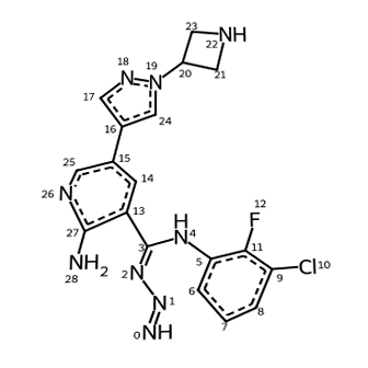 N=N/N=C(\Nc1cccc(Cl)c1F)c1cc(-c2cnn(C3CNC3)c2)cnc1N